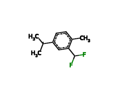 C[C](C)c1ccc(C)c(C(F)F)c1